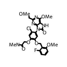 CNC(=O)COc1cc(Cl)c(-n2c(=O)[nH]c3c(OC)nc(COC)nc32)cc1OCc1c(F)cccc1OC